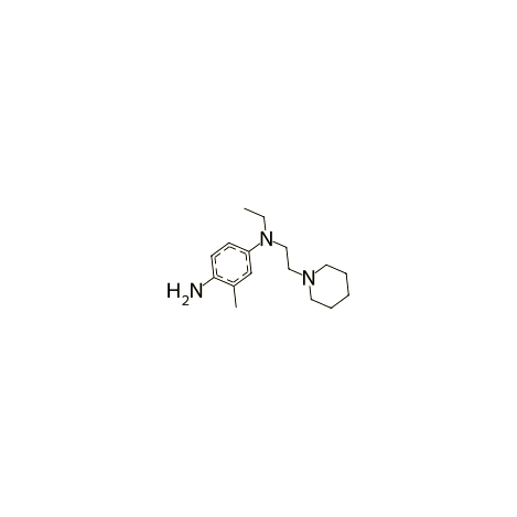 CCN(CCN1CCCCC1)c1ccc(N)c(C)c1